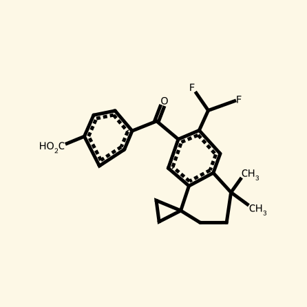 CC1(C)CCC2(CC2)c2cc(C(=O)c3ccc(C(=O)O)cc3)c(C(F)F)cc21